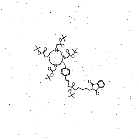 CC(C)(C)OC(=O)CN1CCN(CC(=O)OC(C)(C)C)CCN(CC(=O)OC(C)(C)C)[C@@H](Cc2ccc(/C=C/CP(=O)(CCCCCN3C(=O)c4ccccc4C3=O)OC(C)(C)C)cc2)CN(CC(=O)OC(C)(C)C)CC1